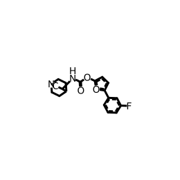 O=C(NC1CN2CCC1CC2)Oc1ccc(-c2cccc(F)c2)o1